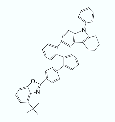 CC(C)(C)c1cccc2oc(-c3ccc(-c4ccccc4-c4ccccc4-c4ccc5c(c4)c4c(n5-c5ccccc5)CCC=C4)cc3)nc12